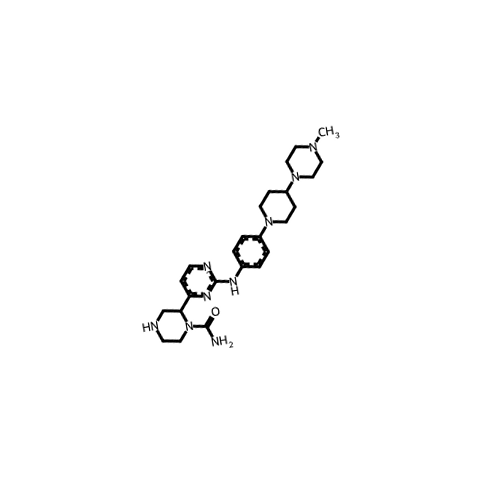 CN1CCN(C2CCN(c3ccc(Nc4nccc(C5CNCCN5C(N)=O)n4)cc3)CC2)CC1